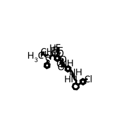 CN(C)CC[C@H](CSc1ccccc1)Nc1ccc(S(=O)(=O)NC(=O)c2ccc(NCCNCC3=C(c4ccc(Cl)cc4)CCCCC3)cc2)cc1S(=O)(=O)C(F)(F)F